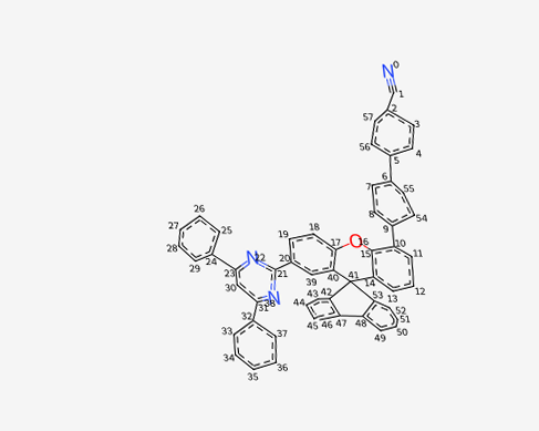 N#Cc1ccc(-c2ccc(-c3cccc4c3Oc3ccc(-c5nc(-c6ccccc6)cc(-c6ccccc6)n5)cc3C43c4ccccc4-c4ccccc43)cc2)cc1